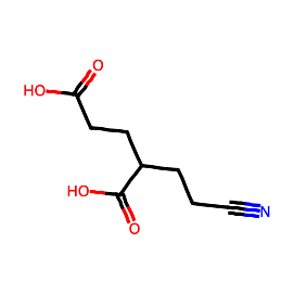 N#CCCC(CCC(=O)O)C(=O)O